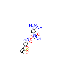 CS(=O)(=O)c1ccccc1-c1ccc(NC(=O)OC2CNC(=O)N2c2cccc(C(=N)N)c2)cc1